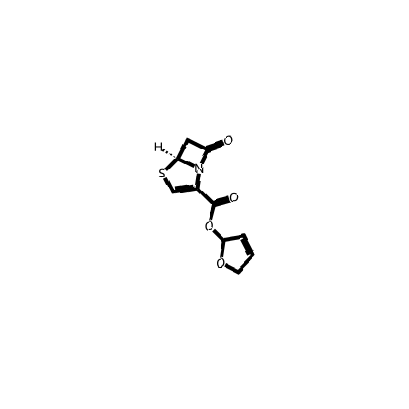 O=C(OC1C=CCO1)C1=CS[C@H]2CC(=O)N12